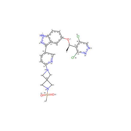 C[C@@H](Oc1ccc2[nH]nc(-c3ccc(N4CC5(C4)CN(S(C)(=O)=O)C5)nc3)c2c1)c1c(Cl)cnnc1Cl